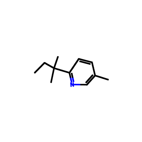 CCC(C)(C)c1ccc(C)cn1